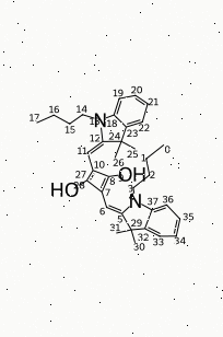 CCCCN1C(=CC2=C(O)C(C=C3N(CCCC)c4ccccc4C3(C)C)=C2O)C(C)(C)c2ccccc21